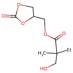 CCC(C)(CO)C(=O)OCC1COC(=O)O1